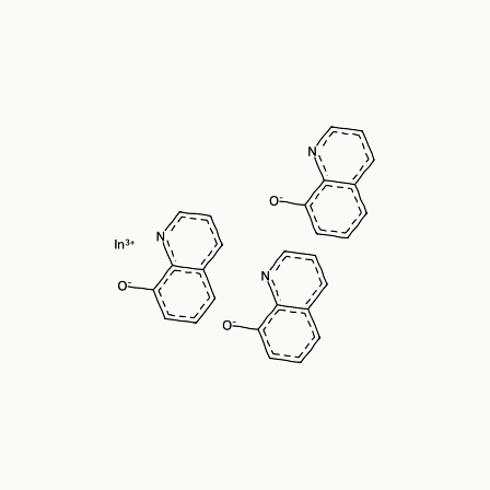 [In+3].[O-]c1cccc2cccnc12.[O-]c1cccc2cccnc12.[O-]c1cccc2cccnc12